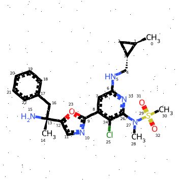 C[C@@H]1C[C@H]1CNc1cc(-c2ncc([C@](C)(N)Cc3ccccc3)o2)c(Cl)c(N(C)S(C)(=O)=O)n1